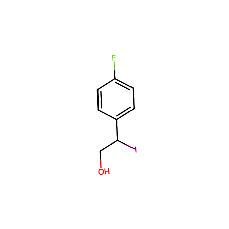 OCC(I)c1ccc(F)cc1